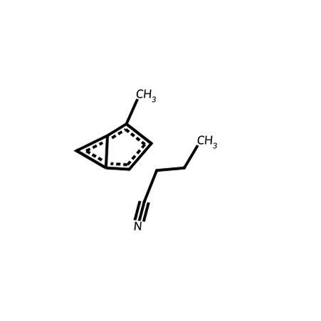 CCCC#N.Cc1ccc2cc1-2